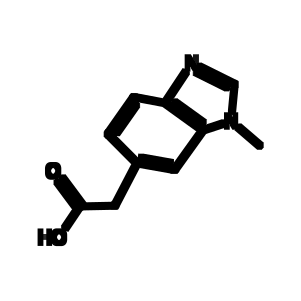 Cn1cnc2ccc(CC(=O)O)cc21